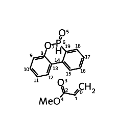 C=CC(=O)OC.O=[PH]1Oc2ccccc2-c2ccccc21